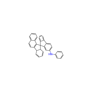 C1=CC2c3ccc4ccccc4c3C3(c4ccccc4-c4ccc(Nc5ccccc5)cc43)C2C=C1